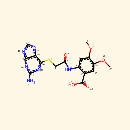 COc1cc(NC(=O)CSc2nc(N)nc3nc[nH]c23)c(C(=O)O)cc1OC